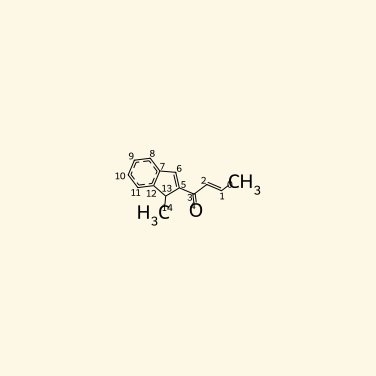 C/C=C/C(=O)C1=Cc2ccccc2C1C